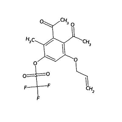 C=CCOc1cc(OS(=O)(=O)C(F)(F)F)c(C)c(C(C)=O)c1C(C)=O